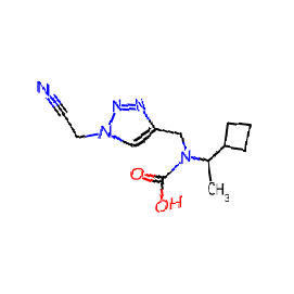 CC(C1CCC1)N(Cc1cn(CC#N)nn1)C(=O)O